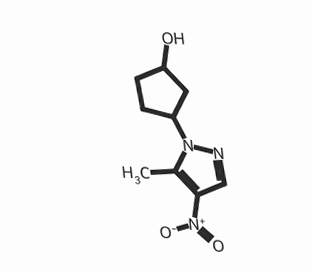 Cc1c([N+](=O)[O-])cnn1C1CCC(O)C1